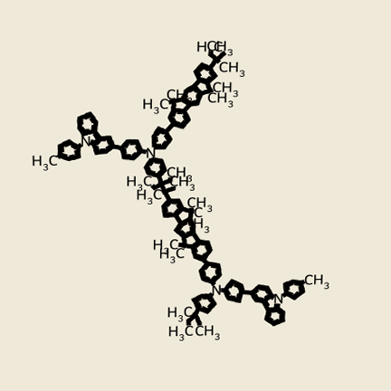 CCC(C)(CC)c1ccc(N(c2ccc(-c3ccc4c(c3)C(C)(C)c3cc5c(cc3-4)C(C)(C)c3cc(C(C)(CC)C(CC)(CC)c4ccc(N(c6ccc(-c7ccc8c(c7)C(C)(C)c7cc9c(cc7-8)C(C)(C)c7cc(C(C)(CC)CC)ccc7-9)cc6)c6ccc(-c7ccc8c(c7)c7ccccc7n8-c7ccc(C)cc7)cc6)cc4)ccc3-5)cc2)c2ccc(-c3ccc4c(c3)c3ccccc3n4-c3ccc(C)cc3)cc2)cc1